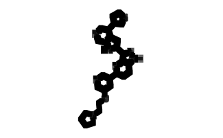 c1cc(-c2cncc3[nH]c(-c4n[nH]c5ccc(-c6cncc(OCCN7CCCC7)c6)nc45)cc23)cs1